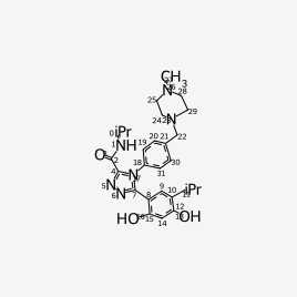 CC(C)NC(=O)c1nnc(-c2cc(C(C)C)c(O)cc2O)n1-c1ccc(CN2CCN(C)CC2)cc1